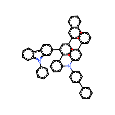 c1ccc(-c2ccc(N(c3ccc(-c4ccccc4)cc3)c3ccccc3-c3ccc(-c4ccc5ccccc5c4)cc3-c3ccc4c5ccccc5n(-c5ccccc5)c4c3)cc2)cc1